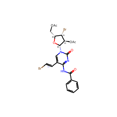 CC(=O)OC[C@H]1O[C@@H](n2cc(/C=C/Br)c(NC(=O)c3ccccc3)nc2=O)[C@H](OC(C)=O)[C@H]1Br